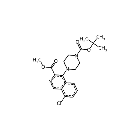 COC(=O)c1ncc2c(Cl)cccc2c1N1CCN(C(=O)OC(C)(C)C)CC1